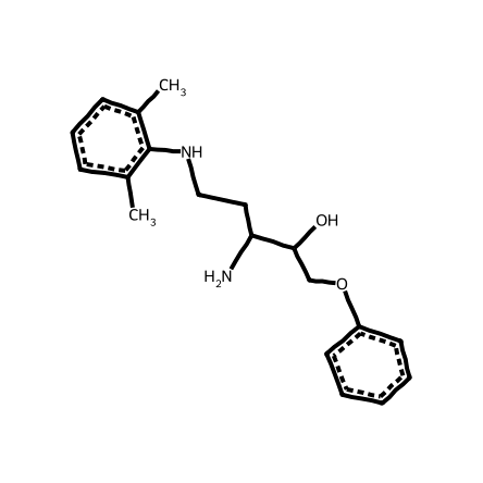 Cc1cccc(C)c1NCCC(N)C(O)COc1ccccc1